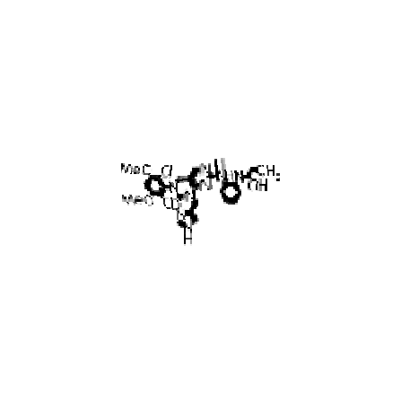 C=CC(O)N[C@H]1CCCC[C@H]1Nc1ncc2c(n1)N(Cc1c[nH]cn1)C(=O)N(c1c(Cl)c(OC)cc(OC)c1Cl)C2